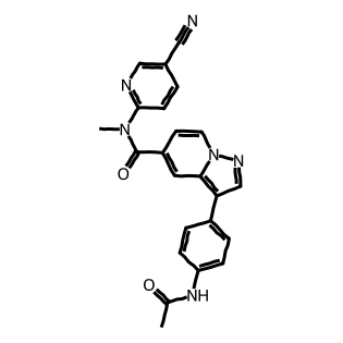 CC(=O)Nc1ccc(-c2cnn3ccc(C(=O)N(C)c4ccc(C#N)cn4)cc23)cc1